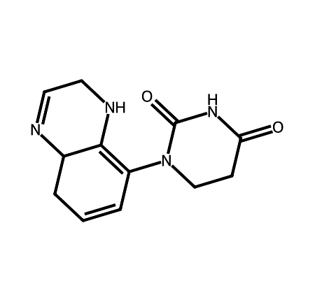 O=C1CCN(C2=C3NCC=NC3CC=C2)C(=O)N1